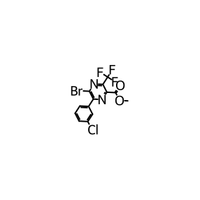 COC(=O)c1nc(-c2cccc(Cl)c2)c(Br)nc1C(F)(F)F